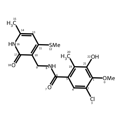 COc1c(Cl)cc(C(=O)NCc2c(SC)cc(C)[nH]c2=O)c(C)c1O